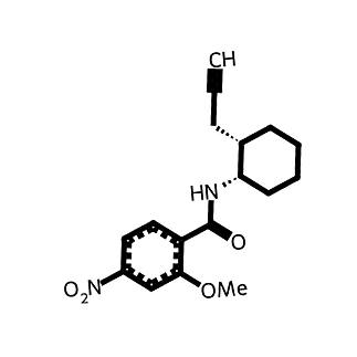 C#CC[C@@H]1CCCC[C@@H]1NC(=O)c1ccc([N+](=O)[O-])cc1OC